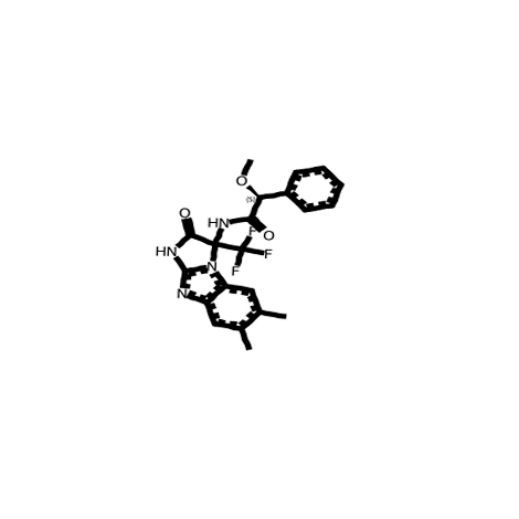 CO[C@H](C(=O)NC1(C(F)(F)F)C(=O)Nc2nc3cc(C)c(C)cc3n21)c1ccccc1